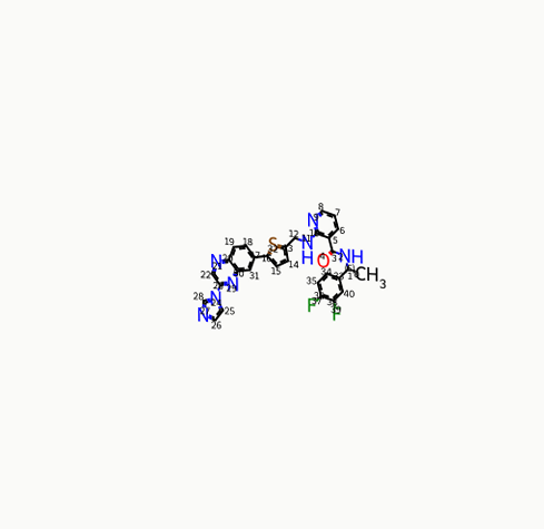 C[C@H](NC(=O)c1cccnc1NCc1ccc(-c2ccc3ncc(-n4ccnc4)nc3c2)s1)c1ccc(F)c(F)c1